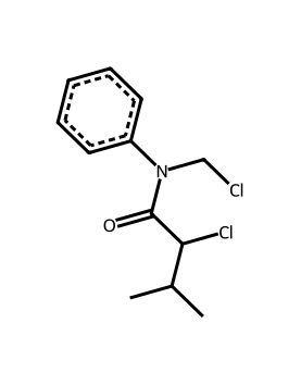 CC(C)C(Cl)C(=O)N(CCl)c1ccccc1